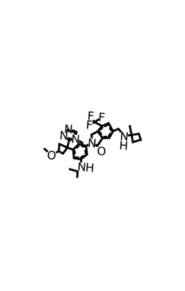 COC1CC(c2cc(NC(C)C)cc(N3Cc4c(cc(CNC5(C)CCC5)cc4C(F)(F)F)C3=O)c2)(c2nncn2C)C1